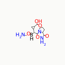 NCOBC(C(=O)N1CCCC1C(N)=O)C1CC1C(=O)O